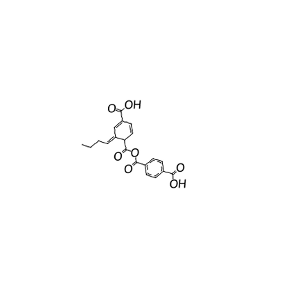 CCCC=C1C=C(C(=O)O)C=CC1C(=O)OC(=O)c1ccc(C(=O)O)cc1